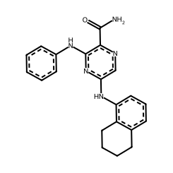 NC(=O)c1ncc(Nc2cccc3c2CCCC3)nc1Nc1ccccc1